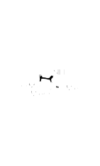 COC(=O)C(=N)P(OC)OC